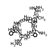 CC(=O)N[C@@H](CCCNC(=N)N)C(=O)N[C@H]1CC(=O)NCCCC[C@@H](C(N)=O)NC(=O)[C@H](Cc2c[nH]c3ccccc23)NC(=O)[C@H](CCCNC(N)=O)NC(=O)[C@@H](Cc2ccccc2)NC(=O)[C@H](CCCCN)NC1=O